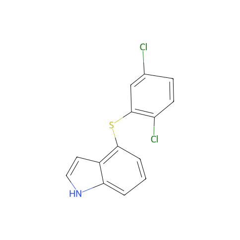 Clc1ccc(Cl)c(Sc2cccc3[nH]ccc23)c1